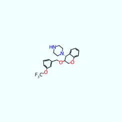 FC(F)(F)Oc1cccc(CO[C@@H]2COc3ccccc3[C@H]2N2CCNCC2)c1